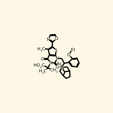 CCOc1ccccc1C(Cn1c(=O)n(C(C)(C)C(=O)O)c(=O)c2c(C)c(-c3ncco3)sc21)OC1C2CCC1CN(C(C)=O)C2